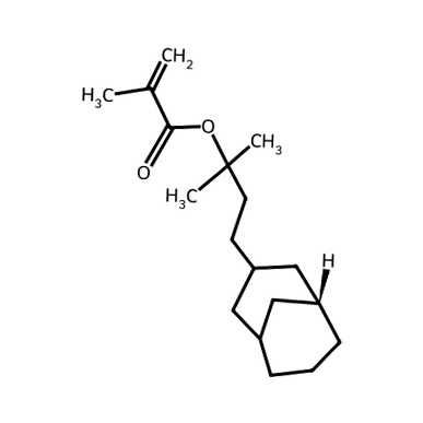 C=C(C)C(=O)OC(C)(C)CCC1CC2CCC[C@H](C2)C1